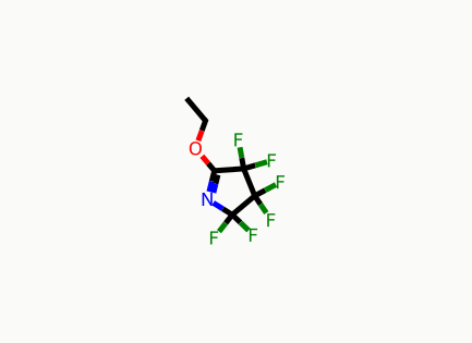 CCOC1=NC(F)(F)C(F)(F)C1(F)F